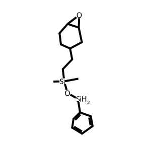 C[Si](C)(CCC1CCC2OC2C1)O[SiH2]c1ccccc1